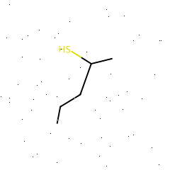 CCCC(C)S